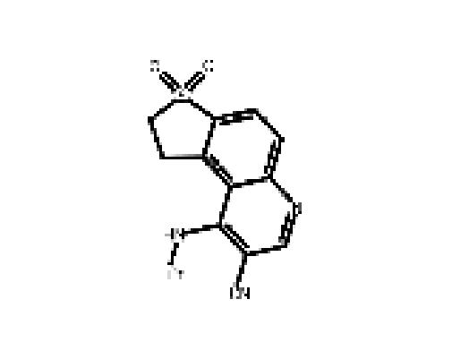 CC(C)Nc1c(C#N)cnc2ccc3c(c12)CCS3(=O)=O